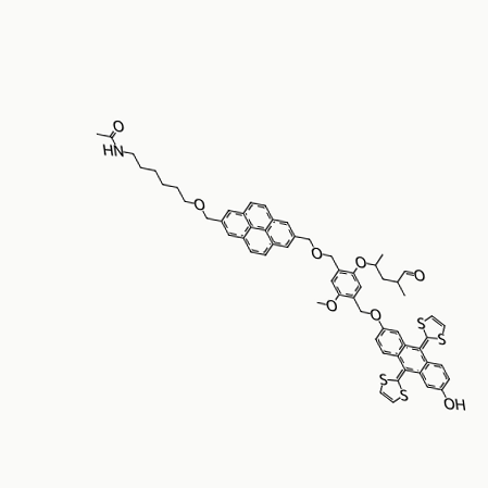 COc1cc(COCc2cc3ccc4cc(COCCCCCCNC(C)=O)cc5ccc(c2)c3c45)c(OC(C)CC(C)C=O)cc1COc1ccc2c(=C3SC=CS3)c3cc(O)ccc3c(=C3SC=CS3)c2c1